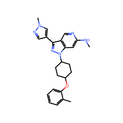 CNc1cc2c(cn1)c(-c1cnn(C)c1)nn2C1CCC(Oc2ccccc2C)CC1